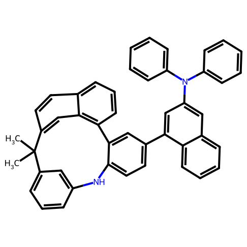 CC1(C)c2cccc(c2)Nc2ccc(-c3cc(N(c4ccccc4)c4ccccc4)cc4ccccc34)cc2-c2cccc3ccc1cc23